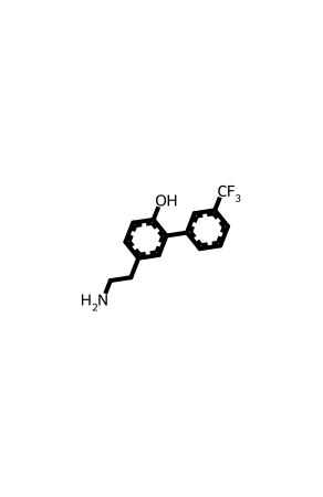 NCCc1ccc(O)c(-c2cccc(C(F)(F)F)c2)c1